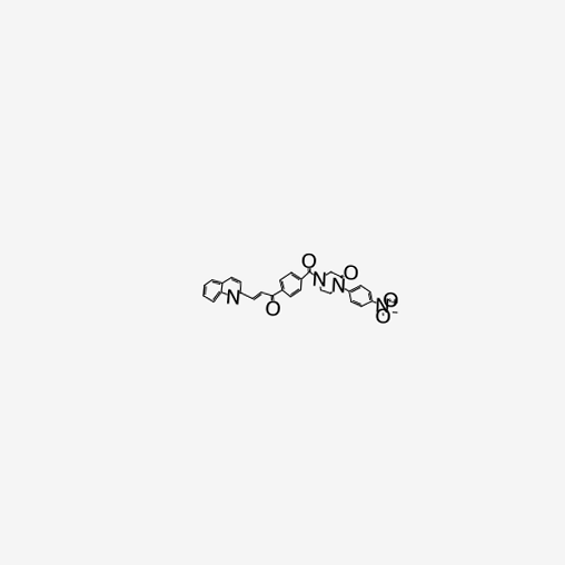 O=C(/C=C/c1ccc2ccccc2n1)c1ccc(C(=O)N2CCN(c3ccc([N+](=O)[O-])cc3)C(=O)C2)cc1